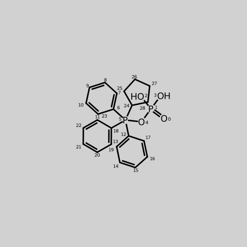 O=P(O)(O)OP(c1ccccc1)(c1ccccc1)(c1ccccc1)C1CCCC1